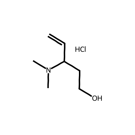 C=CC(CCO)N(C)C.Cl